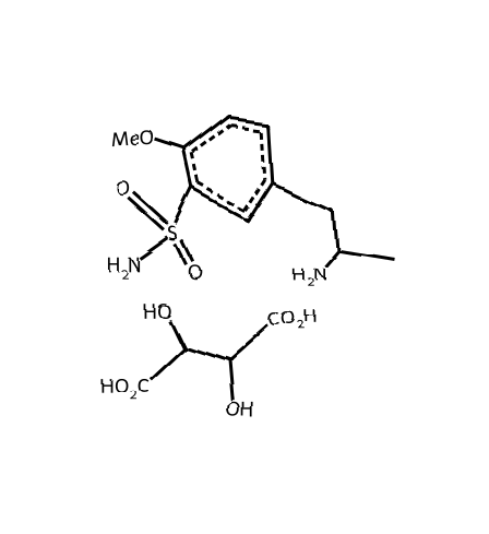 COc1ccc(CC(C)N)cc1S(N)(=O)=O.O=C(O)C(O)C(O)C(=O)O